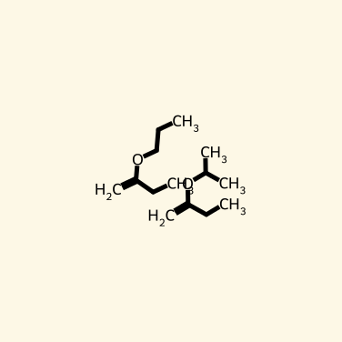 C=C(CC)OC(C)C.C=C(CC)OCCC